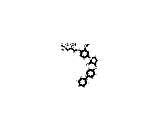 COc1cc(N2CCC(Oc3ccc(-c4ccccc4)cc3)C2=O)ccc1OC[C@@H](O)CS(C)(=O)=O